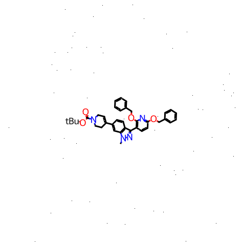 Cn1nc(-c2ccc(OCc3ccccc3)nc2OCc2ccccc2)c2ccc(C3=CCN(C(=O)OC(C)(C)C)CC3)cc21